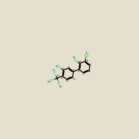 Fc1cc(-c2[c]ccc(Cl)c2F)ccc1C(F)(F)F